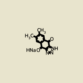 Cc1cc2c(cc1C)C(=O)c1[nH]nnc1C2=O.[NaH]